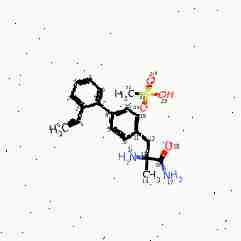 C=Cc1ccccc1-c1ccc(CC(C)(N)C(N)=O)cc1.CS(=O)(=O)O